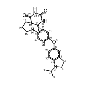 CC(C)N1CCc2cc(Oc3ccc(N4CCCC45C(=O)NC(=O)NC5=O)cn3)ccc21